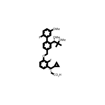 COc1ccc(F)c(-c2ccc(COc3cccc([C@@H](CC(=O)O)C4CC4)c3F)cc2[C@H](OC)C(C)(C)OC)c1